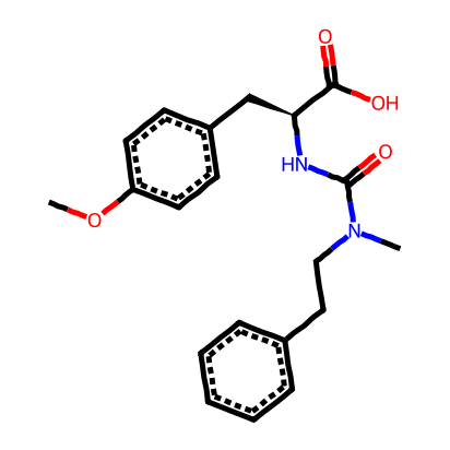 COc1ccc(C[C@H](NC(=O)N(C)CCc2ccccc2)C(=O)O)cc1